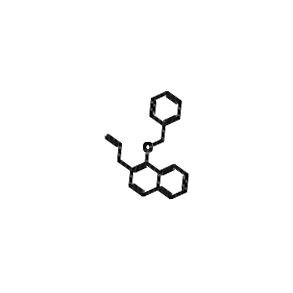 C=CCc1ccc2ccccc2c1OCc1ccccc1